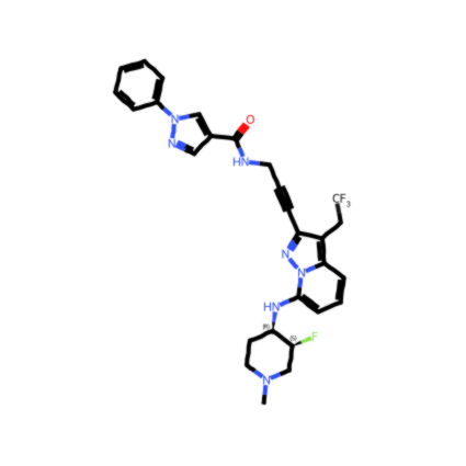 CN1CC[C@@H](Nc2cccc3c(CC(F)(F)F)c(C#CCNC(=O)c4cnn(-c5ccccc5)c4)nn23)[C@@H](F)C1